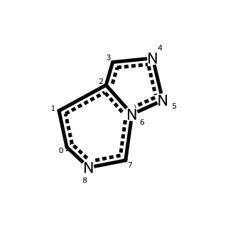 [c]1cc2cnnn2cn1